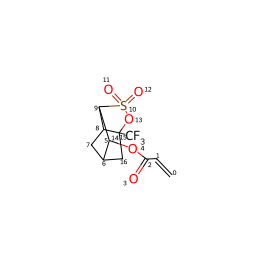 C=CC(=O)OC1C2CC3C1S(=O)(=O)OC3(C(F)(F)F)C2